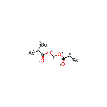 CCCCC(C(C)=O)C(=O)OCOC(=O)CC(C)=O